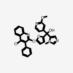 COc1cc(C(O)(c2ccco2)c2cncn2C)ccn1.Clc1nc2ccccc2c(Cl)c1-c1ccccc1